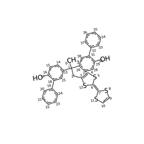 CC(CC1=CSC(=C2SC=CS2)S1)(c1ccc(O)c(-c2ccccc2)c1)c1ccc(O)c(-c2ccccc2)c1